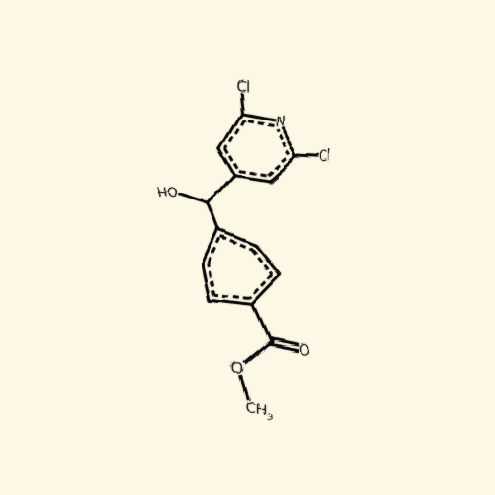 COC(=O)c1ccc(C(O)c2cc(Cl)nc(Cl)c2)cc1